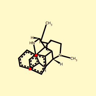 CN1CC[C@]23c4ccccc4N[C@@H]1[C@]21CCN(C)[C@@H]3Nc2ccccc21